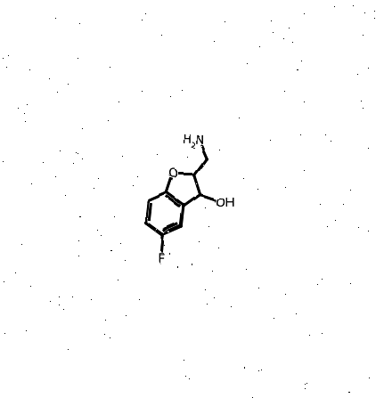 NCC1Oc2ccc(F)cc2C1O